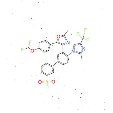 Cc1nc(-c2cc(-c3cccc(S(C)(=O)=O)c3)ccc2-n2cc(C(F)(F)F)nc2C)c(-c2ccc(OC(F)F)cc2)o1